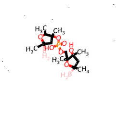 BC1(C)CC(C)(OP(=O)(O)OCC2(C)OC(B)(C)CC2(C)O)C(C)O1